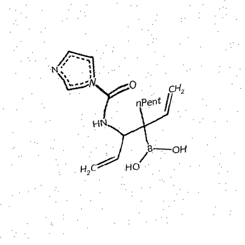 C=CC(NC(=O)n1ccnc1)C(C=C)(CCCCC)B(O)O